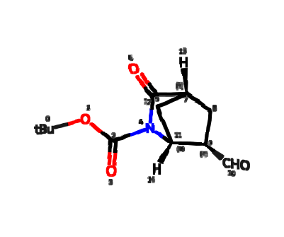 CC(C)(C)OC(=O)N1C(=O)[C@@H]2C[C@@H](C=O)[C@H]1C2